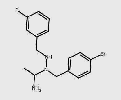 CC(N)N(Cc1ccc(Br)cc1)NCc1cccc(F)c1